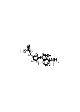 NC1NCNC2=C1NCN2[C@H]1CC[C@@H](CO[PH](=O)S)O1